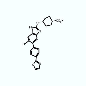 O=C(O)[C@H]1CC[C@H](Oc2nc3nc(-c4ccc(-c5ncco5)cc4)c(Cl)cc3[nH]2)CC1